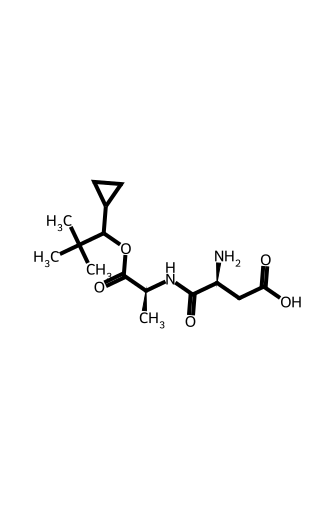 C[C@H](NC(=O)[C@@H](N)CC(=O)O)C(=O)OC(C1CC1)C(C)(C)C